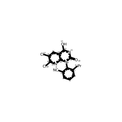 CC(C)c1cccc(C#N)c1-n1c(=O)nc(O)c2cc(Cl)c(Cl)nc21